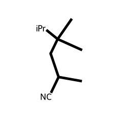 CC(C#N)CC(C)(C)C(C)C